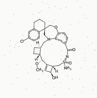 CO[C@H]1C2=C[C@H](O)[C@H]2CS(N)(=O)=NC(=O)c2ccc3c(c2)N(C[C@@H]2CC[C@H]21)C[C@@]1(CCCc2cc(Cl)ccc21)CO3